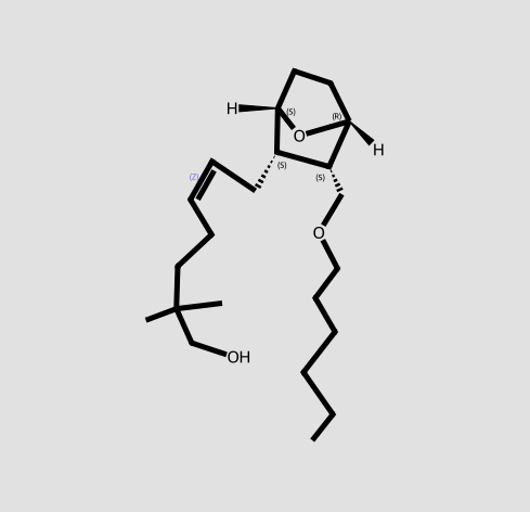 CCCCCCOC[C@@H]1[C@H](C/C=C\CCC(C)(C)CO)[C@@H]2CC[C@H]1O2